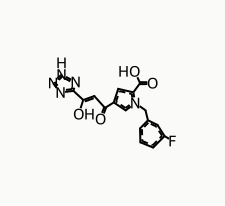 O=C(C=C(O)c1nn[nH]n1)c1cc(C(=O)O)n(Cc2cccc(F)c2)c1